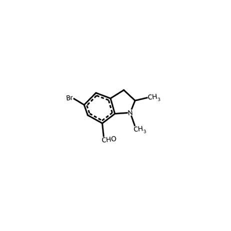 CC1Cc2cc(Br)cc(C=O)c2N1C